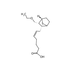 CCOC[C@@H]1[C@@H]2CCC(S2)[C@@H]1C/C=C\CCCC(=O)O